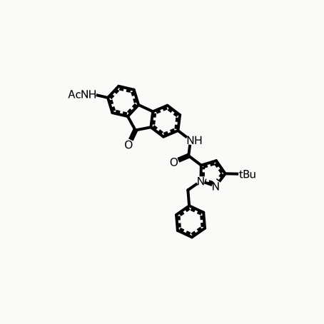 CC(=O)Nc1ccc2c(c1)C(=O)c1cc(NC(=O)c3cc(C(C)(C)C)nn3Cc3ccccc3)ccc1-2